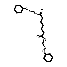 O=C(CCCCCC(=O)OCSOC1CCCCC1)OCSOC1CCCCC1